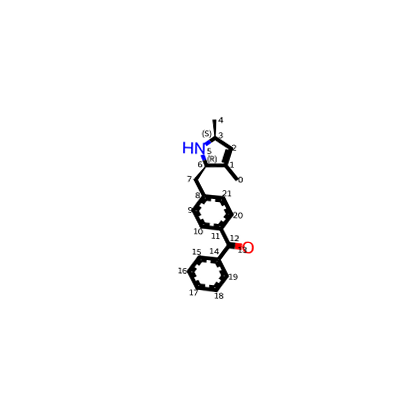 CC1=C[C@H](C)N[C@@H]1Cc1ccc(C(=O)c2ccccc2)cc1